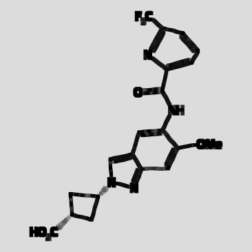 COc1cc2nn([C@H]3C[C@@H](C(=O)O)C3)cc2cc1NC(=O)c1cccc(C(F)(F)F)n1